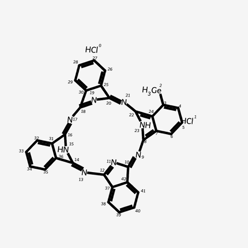 Cl.Cl.[GeH3][c]1cccc2c3nc4nc(nc5[nH]c(nc6nc(nc([nH]3)c12)-c1ccccc1-6)c1ccccc51)-c1ccccc1-4